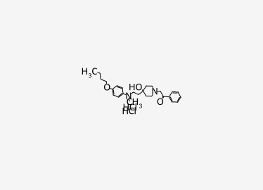 CCCCOc1ccc(N(C)CCC2(O)CCN(CC(=O)c3ccccc3)CC2)cc1.Cl.Cl